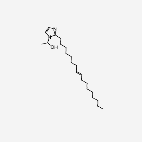 CCCCCCCCC=CCCCCCCCc1nccn1C(C)O